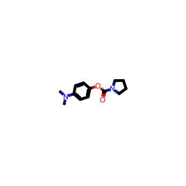 CN(C)c1ccc(OC(=O)N2CCCC2)cc1